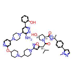 CC(C)[C@@H](C(=O)N1C[C@H](O)C[C@H]1C(=O)N[C@@H](C)c1ccc(-c2ccnn2C)cc1)c1cc(N2CCC(CN3CCC(Oc4cc(N5CCN(c6cc(-c7ccccc7O)nnc6N)CC5)ccn4)CC3)CC2)no1